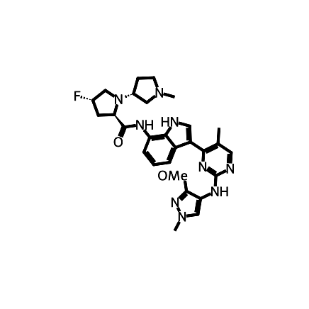 COc1nn(C)cc1Nc1ncc(C)c(-c2c[nH]c3c(NC(=O)[C@H]4C[C@H](F)CN4[C@@H]4CCN(C)C4)cccc23)n1